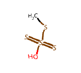 CSS(O)(=S)=S